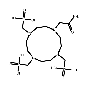 NC(=O)CN1CCN(CP(=O)(O)O)CCN(CP(=O)(O)O)CCN(CP(=O)(O)O)CC1